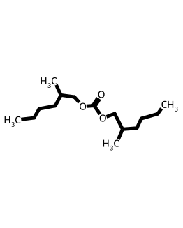 CCCCC(C)COC(=O)OCC(C)CCCC